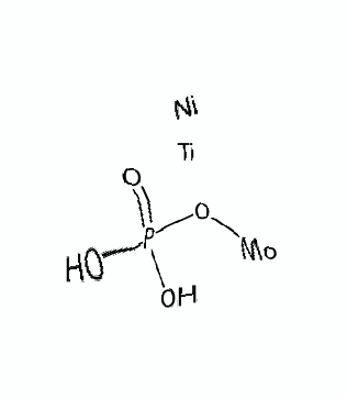 O=P(O)(O)[O][Mo].[Ni].[Ti]